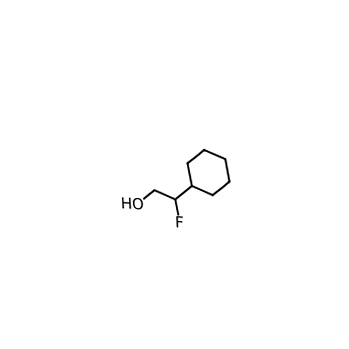 OCC(F)C1CCCCC1